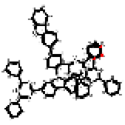 c1ccc(-c2nc(-c3ccccc3)nc(-c3ccc4c5ccc(-c6nc(-c7ccccc7)nc(-c7ccccc7)n6)cc5n(-c5ccc(-c6ccc7c(c6)oc6ccccc67)cc5-c5nc(-c6ccccc6)nc(-c6ccccc6)n5)c4c3)n2)cc1